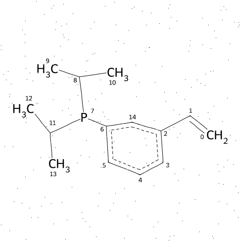 C=Cc1cccc(P(C(C)C)C(C)C)c1